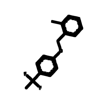 Cc1ccccc1COc1ccc(C(C)(F)F)cc1